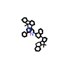 CC1(C)C2=C(CCc3ccccc32)c2c(-c3ccc(-c4cc(-c5cccc6c5C(C)(c5ccccc5)c5ccccc5-6)nc(-c5ccccc5)n4)c4ccccc34)cccc21